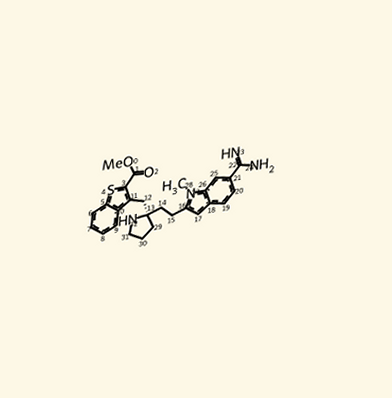 COC(=O)c1sc2ccccc2c1C[C@]1(CCc2cc3ccc(C(=N)N)cc3n2C)CCCN1